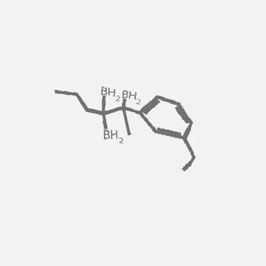 BC(B)(CCC)C(B)(C)c1cccc(CC)c1